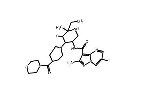 CCC1(C)NCC(NC(=O)c2c(N)nn3cc(F)cnc23)C(N2CCC(C(=O)N3CCOCC3)CC2)C1F